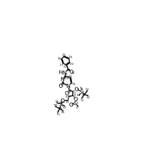 CS(=O)O[C@H]1[C@@H](O[Si](C)(C)C(C)(C)C)[C@H](n2ccc(NC(=O)c3ccccc3)nc2=O)O[C@@H]1CO[Si](C)(C)C(C)(C)C